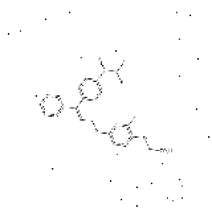 O=C(O)COc1ccc(SCC=C(c2ccccc2)c2ccc(C(F)C(F)F)cc2)cc1I